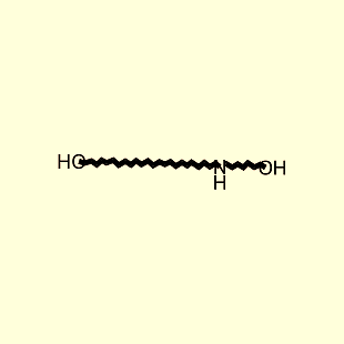 OCCCCCCCCCCCCCCCCCCCCCCCCNCCCCCCCO